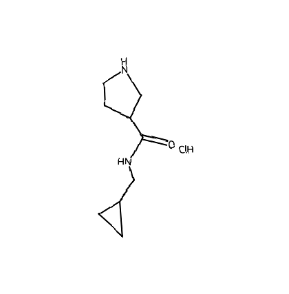 Cl.O=C(NCC1CC1)C1CCNC1